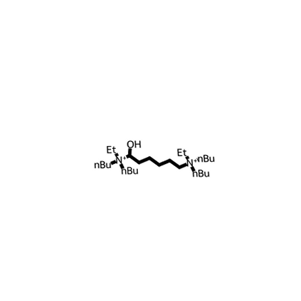 CCCC[N+](CC)(CCCC)CCCCCC(O)[N+](CC)(CCCC)CCCC